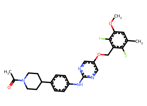 COc1cc(C)c(F)c(COc2cnc(Nc3ccc(C4CCN(C(C)=O)CC4)cc3)nc2)c1F